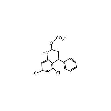 O=C(O)OC1CC(c2ccccc2)c2c(Cl)cc(Cl)cc2N1